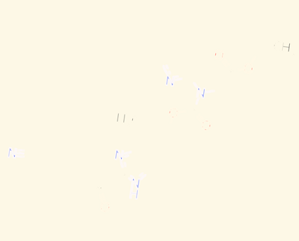 CCOC(=O)CN(C(=O)Oc1ccc2[nH]c(C(=O)c3ccc(C#N)cc3)nc2c1C)c1ccccn1